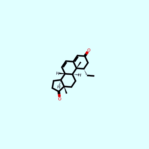 CC[C@H]1CC(=O)C=C2C=C[C@@H]3[C@H](CC[C@]4(C)C(=O)CC[C@@H]34)[C@]21C